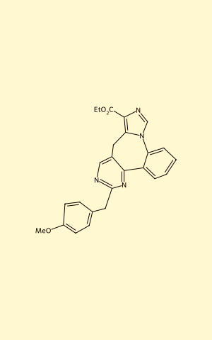 CCOC(=O)c1ncn2c1Cc1cnc(Cc3ccc(OC)cc3)nc1-c1ccccc1-2